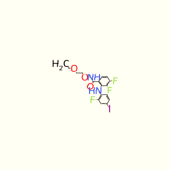 C=COCCONC(=O)c1ccc(F)c(F)c1Nc1ccc(I)cc1F